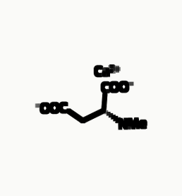 CN[C@H](CC(=O)[O-])C(=O)[O-].[Ca+2]